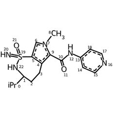 CC(C)C1CCc2c(cn(C)c2C(=O)Nc2ccncc2)S(=N)(=O)N1